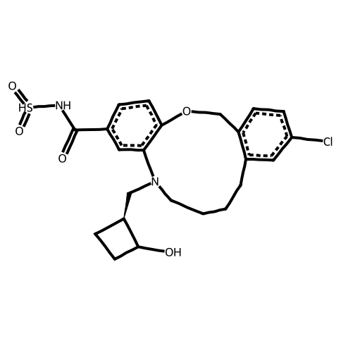 O=C(N[SH](=O)=O)c1ccc2c(c1)N(C[C@@H]1CCC1O)CCCCc1cc(Cl)ccc1CO2